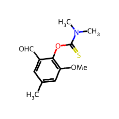 COc1cc(C)cc(C=O)c1OC(=S)N(C)C